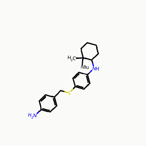 CCCCC1(C)CCCCC1Nc1ccc(SCc2ccc(N)cc2)cc1